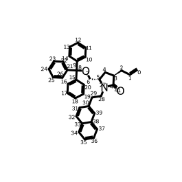 C=CC[C@@H]1C[C@@H](COC(c2ccccc2)(c2ccccc2)c2ccccc2)N(CCc2ccc3ccccc3c2)C1=O